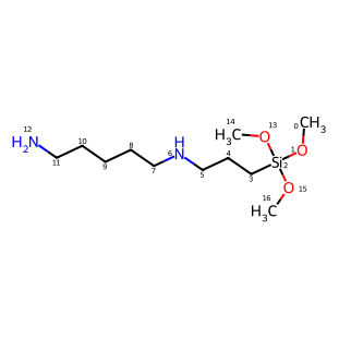 CO[Si](CCCNCCCCCN)(OC)OC